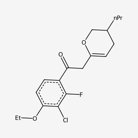 CCCC1CC=C(CC(=O)c2ccc(OCC)c(Cl)c2F)OC1